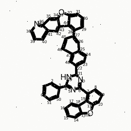 c1ccc(C2=NC(c3cccc4oc5ccccc5c34)=NC(c3ccc4cc(-c5cccc6oc7cc8ncccc8cc7c56)ccc4c3)N2)cc1